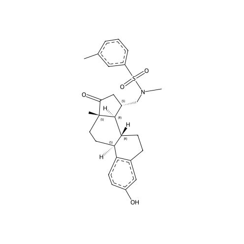 Cc1cccc(S(=O)(=O)N(C)C[C@H]2CC(=O)[C@@]3(C)CC[C@@H]4c5ccc(O)cc5CC[C@H]4[C@H]23)c1